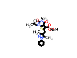 Cc1nn(-c2ccccc2)c(C)c1Cc1sc2c(c1C(=O)O)c(=O)n(C)c(=O)n2CC(C)C.[NaH]